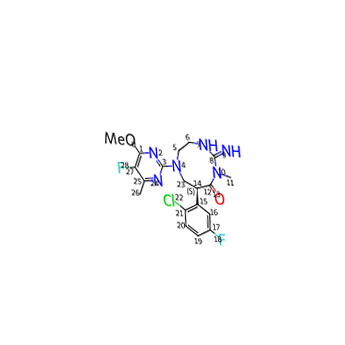 COc1nc(N2CCNC(=N)N(C)C(=O)[C@@H](c3cc(F)ccc3Cl)C2)nc(C)c1F